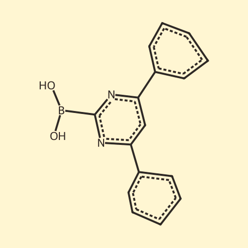 OB(O)c1nc(-c2ccccc2)cc(-c2ccccc2)n1